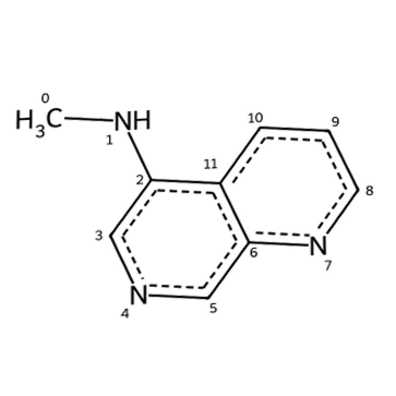 CNc1cncc2ncccc12